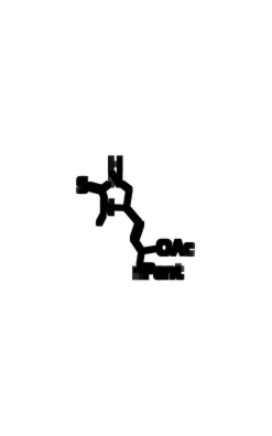 CCCCCC(C=CC1CNC(=S)N1C)OC(C)=O